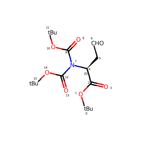 CC(C)(C)OC(=O)[C@H](CC=O)N(C(=O)OC(C)(C)C)C(=O)OC(C)(C)C